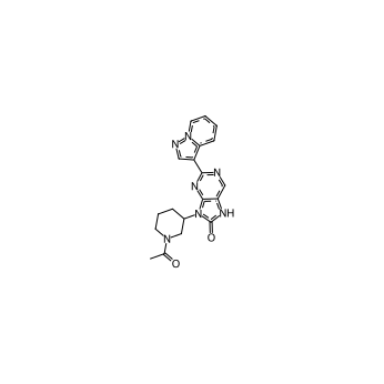 CC(=O)N1CCCC(n2c(=O)[nH]c3cnc(-c4cnn5ccccc45)nc32)C1